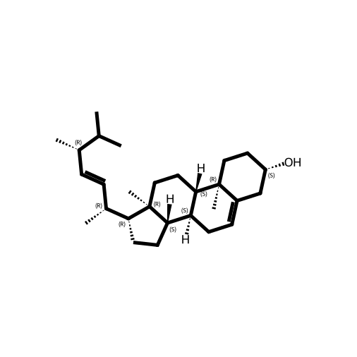 CC(C)[C@@H](C)C=C[C@@H](C)[C@H]1CC[C@H]2[C@@H]3CC=C4C[C@@H](O)CC[C@]4(C)[C@H]3CC[C@]12C